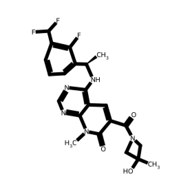 C[C@@H](Nc1ncnc2c1cc(C(=O)N1CC(C)(O)C1)c(=O)n2C)c1cccc(C(F)F)c1F